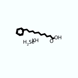 O=C(O)CCCCCCCCCc1ccccc1.[KH].[SeH2]